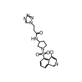 O=C(CCn1cnnn1)NC1CCN(S(=O)(=O)c2cccc3cncc(Cl)c23)C1